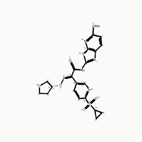 COc1ccc2nc(NC(=O)/C(=N/O[C@@H]3CCOC3)c3ccc(S(=O)(=O)C4CC4)nc3)sc2n1